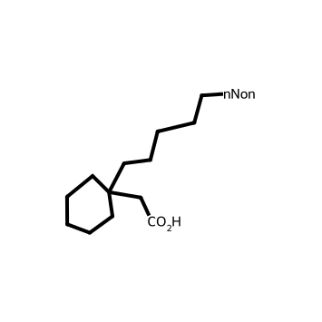 CCCCCCCCCCCCCCC1(CC(=O)O)CCCCC1